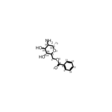 C[C@@H]1OC(COC(=O)c2ccccc2)[C@H](O)C(O)C1N